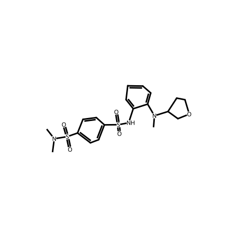 CN(c1ccccc1NS(=O)(=O)c1ccc(S(=O)(=O)N(C)C)cc1)C1CCOC1